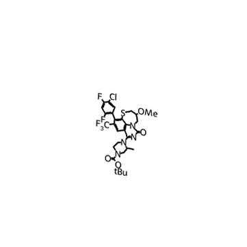 COC1CSc2c(-c3cc(Cl)c(F)cc3F)c(C(F)(F)F)cc3c(N4CCN(C(=O)OC(C)(C)C)CC4C)nc(=O)n(c23)C1